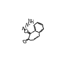 O=C1C=Cc2ccccc2C1=O.[N-]=[N+]=N